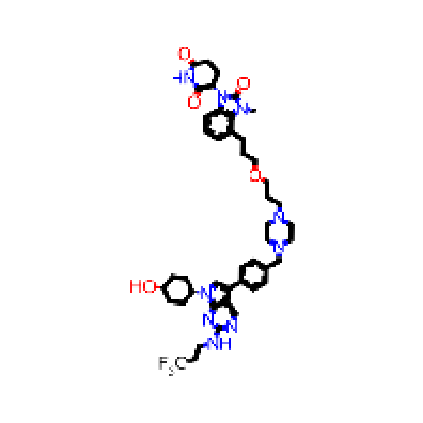 Cn1c(=O)n([C@H]2CCC(=O)NC2=O)c2cccc(CCCOCCCN3CCN(Cc4ccc(-c5cn([C@H]6CC[C@H](O)CC6)c6nc(NCCC(F)(F)F)ncc56)cc4)CC3)c21